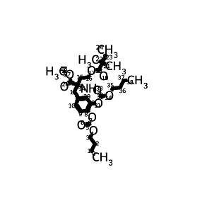 CCCCOC(=O)Oc1ccc(C[C@](N)(CCOC(=O)C(C)(C)CC)C(=O)OC)cc1OC(=O)OCCCC